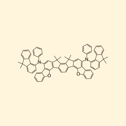 CC1(C)c2ccccc2-c2c(N(c3ccccc3)c3cc4c(c5oc6ccccc6c35)-c3ccc5c(c3C4(C)C)C(C)(C)c3cc(N(c4ccccc4)c4cccc6c4-c4ccccc4C6(C)C)c4c(oc6ccccc64)c3-5)cccc21